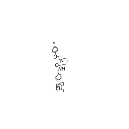 COC(=O)c1ccc(CNC(=O)[C@H]2CCCCN2CCOc2ccc(F)cc2)cc1